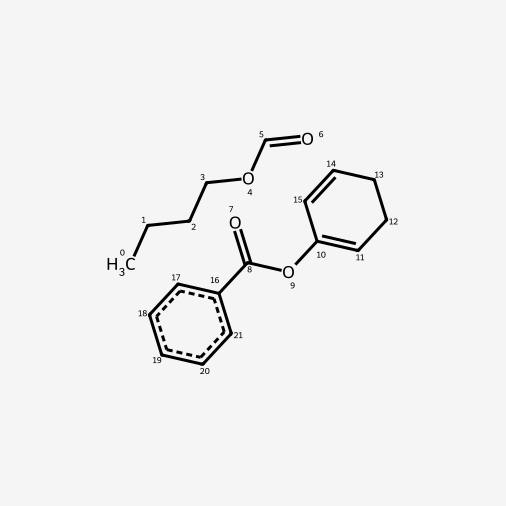 CCCCOC=O.O=C(OC1=CCCC=C1)c1ccccc1